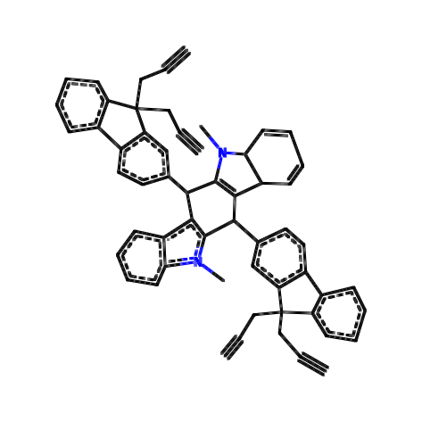 C#CCC1(CC#C)c2ccccc2-c2ccc(C3C4=C(C(c5ccc6c(c5)C(CC#C)(CC#C)c5ccccc5-6)c5c3c3ccccc3n5C)C3C=CC=CC3N4C)cc21